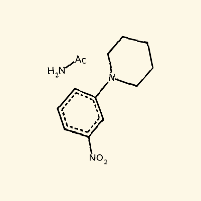 CC(N)=O.O=[N+]([O-])c1cccc(N2CCCCC2)c1